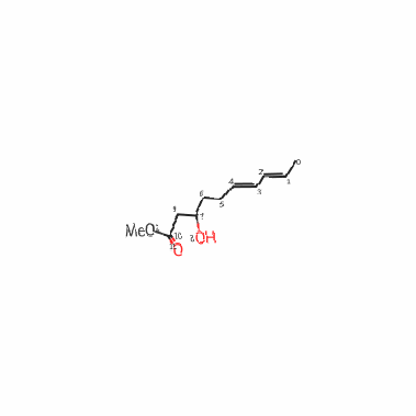 C/C=C/C=C/CCC(O)CC(=O)OC